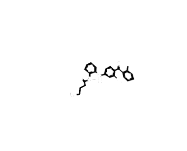 Cc1ccccc1C(=S)c1ccc(Nc2ccccc2NC(=O)CCCBr)cc1Cl